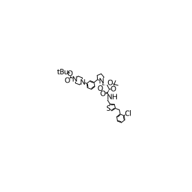 CC(C)(C)OC(=O)N1CCN(c2cccc(C3CCCN3C(=O)[C@@H]3OC(C)(C)O[C@H]3C(=O)NCc3cc(Cc4ccccc4Cl)cs3)c2)CC1